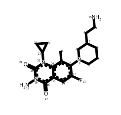 Cc1c(N2CCCC(CCN)C2)c(F)cc2c(=O)n(N)c(=O)n(C3CC3)c12